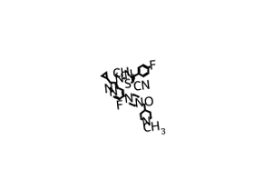 CN1CCC(C(=O)N2CCN(c3cc4c(N(C)c5nc(-c6ccc(F)cc6)c(C#N)s5)c(C5CC5)nn4cc3F)CC2)CC1